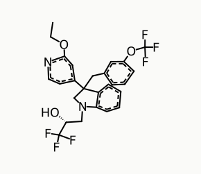 CCOc1cc(C2(Cc3cccc(OC(F)(F)F)c3)CN(C[C@@H](O)C(F)(F)F)c3ccccc32)ccn1